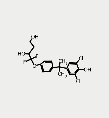 CC(C)(c1ccc(OC(F)(F)C(O)CCO)cc1)c1cc(Cl)c(O)c(Cl)c1